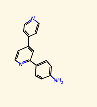 Nc1ccc(-c2cc(-c3ccncc3)ccn2)cc1